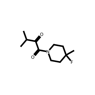 CC(C)C(=O)C(=O)N1CCC(C)(F)CC1